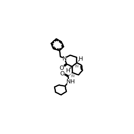 O=C(NC1CCCCC1)[C@H]1CC=C[C@@H]2CCN(Cc3ccccc3)C(=O)[C@@H]21